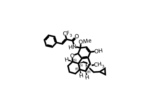 COC1(NC(=O)C(=Cc2ccccc2)C(F)(F)F)C=C(O)C2=C3C1O[C@H]1CCC[C@H]4[C@@H](C2)[N+](C)(CC2CC2)CC[C@]314